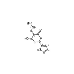 CC(C)NC=C1C(=O)CC(c2nccs2)CC1=O